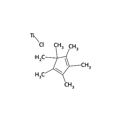 [CH2]C1(C)C(C)=C(C)C(C)=C1C.[Cl][Ti]